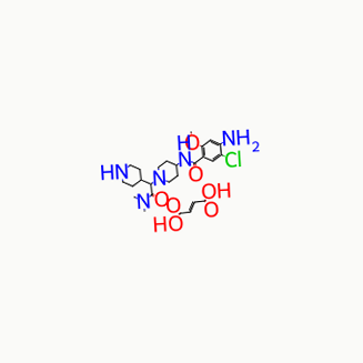 COc1cc(N)c(Cl)cc1C(=O)NC1CCN(C(C(=O)N(C)C)C2CCNCC2)CC1.O=C(O)C=CC(=O)O